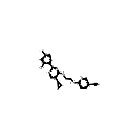 N#Cc1ccc(NCCNc2nc(-c3ccc(Cl)cc3Cl)ncc2C2CC2)nc1